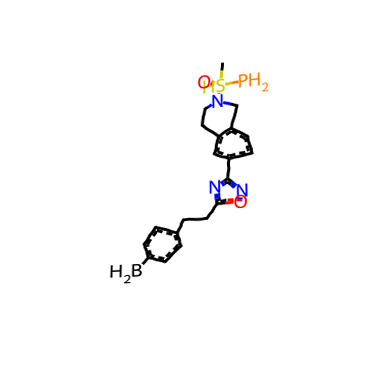 Bc1ccc(CCc2nc(-c3ccc4c(c3)CCN([SH](C)(=O)P)C4)no2)cc1